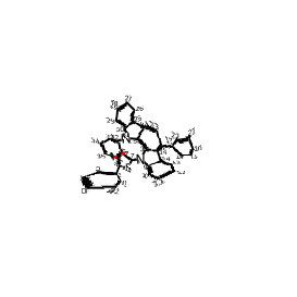 c1ccc(-c2ncc(-n3c4ccccc4c4c(-c5ccccc5)cc5c6ccccc6n(-c6ccccc6)c5c43)s2)cc1